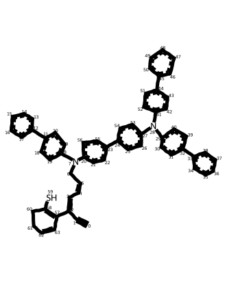 C#C/C(=C\C=C/CN(c1ccc(-c2ccccc2)cc1)c1ccc(-c2ccc(N(c3ccc(-c4ccccc4)cc3)c3ccc(-c4ccccc4)cc3)cc2)cc1)C1=C(S)CCC=C1